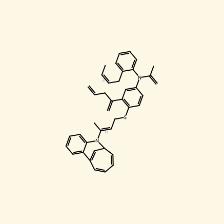 C=CCC(=C)c1cc(N(C(=C)C)c2ccccc2C/C=C\C)ccc1SC/C=C(\C)N1c2ccccc2C2=CC1C=CC=C2